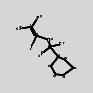 FC(F)=C(F)OC(F)(F)C1CCCCC1